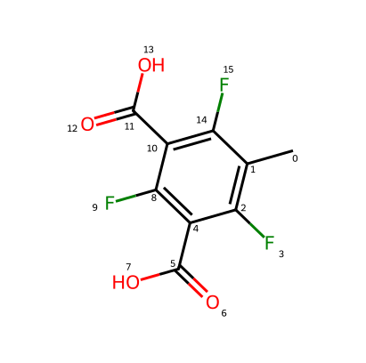 Cc1c(F)c(C(=O)O)c(F)c(C(=O)O)c1F